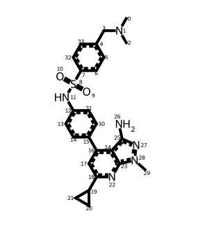 CN(C)Cc1ccc(S(=O)(=O)Nc2ccc(-c3cc(C4CC4)nc4c3c(N)nn4C)cc2)cc1